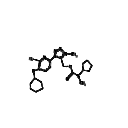 CCc1nc(-c2nnn(C)c2COC(=O)N(C)C2CCCC2)ccc1OC1CCCCC1